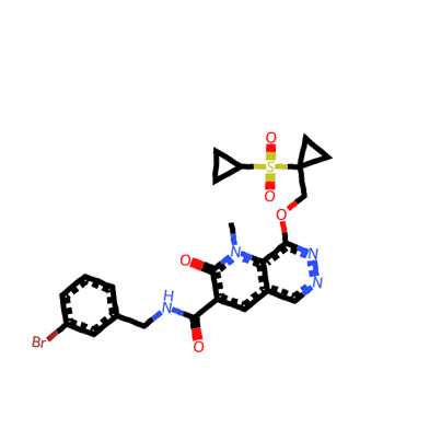 Cn1c(=O)c(C(=O)NCc2cccc(Br)c2)cc2cnnc(OCC3(S(=O)(=O)C4CC4)CC3)c21